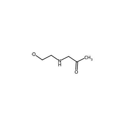 CC(=O)CNCC[O]